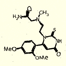 COc1ccc(-c2cc(=O)[nH]c(=S)n2CCN(C)CC(N)=O)c(OC)c1